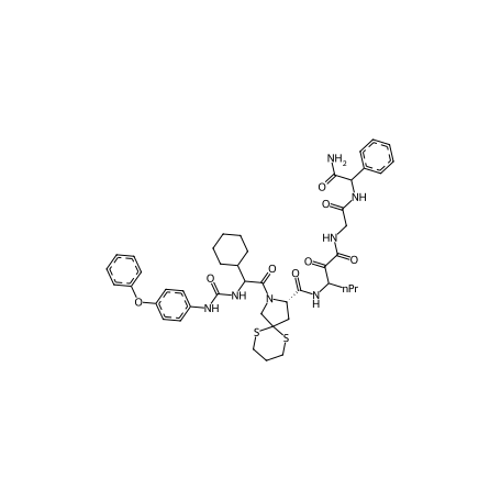 CCCC(NC(=O)[C@@H]1CC2(CN1C(=O)C(NC(=O)Nc1ccc(Oc3ccccc3)cc1)C1CCCCC1)SCCCS2)C(=O)C(=O)NCC(=O)NC(C(N)=O)c1ccccc1